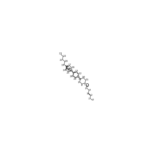 CCC=CCCOC1CCC(c2ccc(C34CCC(CCCCC)(CC3)CC4)cc2)CC1